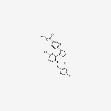 CCOC(=O)c1ccc(C2=C(c3cc(Cl)ccc3OCc3ccc(F)cc3F)CCC2)nc1